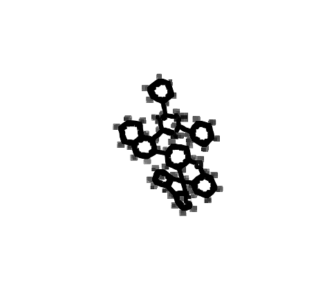 c1ccc(C2=NC(c3c(-c4ccc5c(c4)C4(c6ccccc6O5)c5ccccc5-c5ccccc54)ccc4ccccc34)=NC(c3ccccc3)N2)cc1